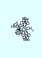 CC(C(C)N1CC(=O)N(C(=O)OC(C)(C)C)C(=O)C1COC(=O)C1NCCS1)N1CC(=O)N(C(=O)OC(C)(C)C)C(=O)C1COC(=O)C1NCCS1